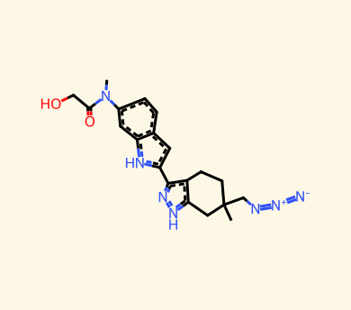 CN(C(=O)CO)c1ccc2cc(-c3n[nH]c4c3CCC(C)(CN=[N+]=[N-])C4)[nH]c2c1